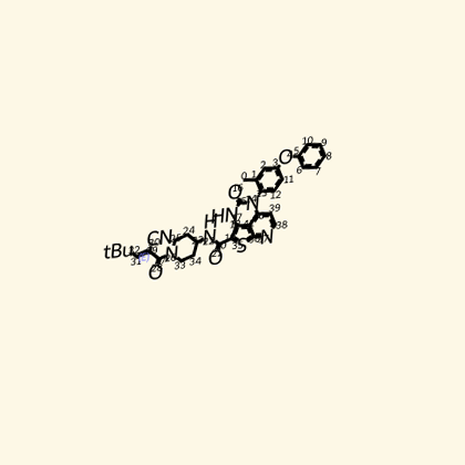 Cc1cc(Oc2ccccc2)ccc1N1C(=O)Nc2c(C(=O)NC3CCN(C(=O)/C(C#N)=C/C(C)(C)C)CC3)sc3nccc1c23